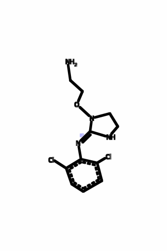 NCCON1CCN/C1=N\c1c(Cl)cccc1Cl